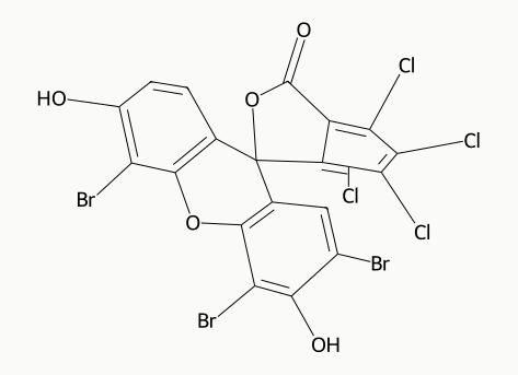 O=C1OC2(c3ccc(O)c(Br)c3Oc3c2cc(Br)c(O)c3Br)c2c(Cl)c(Cl)c(Cl)c(Cl)c21